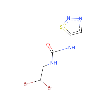 O=C(NCC(Br)Br)Nc1cnns1